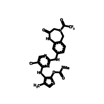 CNC(=O)Oc1scc(C)c1Nc1nc(Nc2ccc3c(c2)NC(=O)CN(C(=O)C(F)(F)F)C3)ncc1Cl